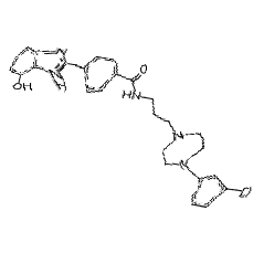 O=C(NCCCN1CCN(c2cccc(Cl)c2)CC1)c1ccc(-c2nc3cccc(O)c3[nH]2)cc1